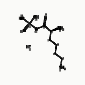 F.NCCCC[C@H](N)C(=O)OP(=O)(O)O